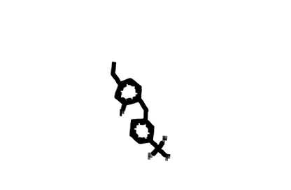 CCc1ccc(Cc2cccc(C(F)(F)F)c2)c(F)c1